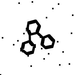 c1ccc(-c2cccnc2-c2cnccn2)cc1